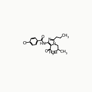 CCCc1nc(NC(=O)c2ccc(Cl)cc2)c(C(=O)O)n1CC(C)C